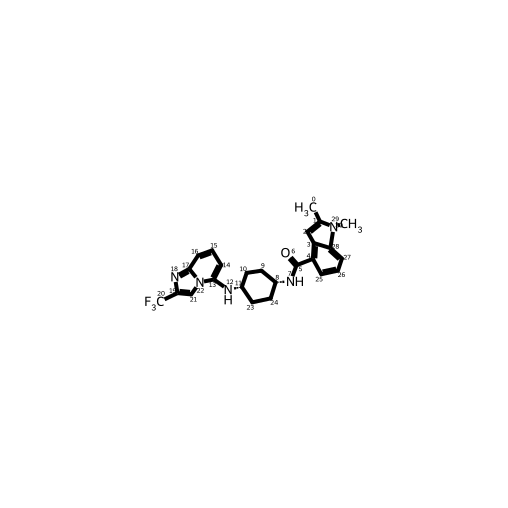 Cc1cc2c(C(=O)N[C@H]3CC[C@@H](Nc4cccc5nc(C(F)(F)F)cn45)CC3)cccc2n1C